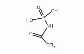 O=C(NP(=O)(O)O)C(Cl)(Cl)Cl